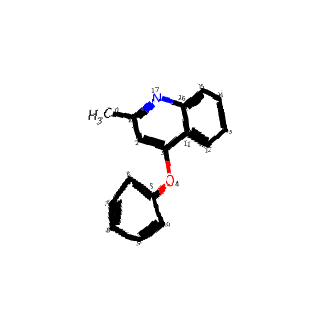 Cc1cc(Oc2ccccc2)c2ccccc2n1